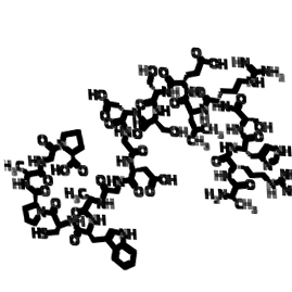 CC(C)C[C@H](NC(=O)[C@H](CCCNC(=N)N)NC(=O)[C@H](CO)NC(=O)[C@H](Cc1c[nH]cn1)NC(=O)[C@H](CCCNC(=N)N)NC(=O)[C@H](C)N)C(=O)N[C@@H](CCC(=O)O)C(=O)N[C@@H](CO)C(=O)N[C@@H](CO)C(=O)N[C@@H](CC(=O)O)C(=O)NCC(=O)N[C@@H](CC(=O)O)C(=O)NCC(=O)N[C@@H](C)C(=O)N[C@@H](Cc1c[nH]c2ccccc12)C(=O)N[C@@H](CS)C(=O)N1CCC[C@H]1C(=O)N[C@@H](C)C(=O)NCC(=O)N1CCC[C@H]1C(=O)O